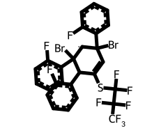 Fc1ccccc1C1C(SC(F)(F)C(F)(F)C(F)(F)F)=CC(Br)(c2ccccc2F)[CH]C1(Br)c1ccccc1F